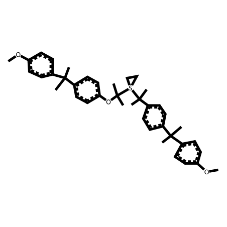 COc1ccc(C(C)(C)c2ccc(OC(C)(C)S3(C(C)(C)c4ccc(C(C)(C)c5ccc(OC)cc5)cc4)CC3)cc2)cc1